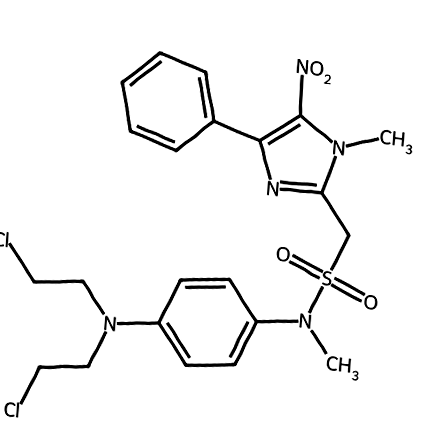 CN(c1ccc(N(CCCl)CCCl)cc1)S(=O)(=O)Cc1nc(-c2ccccc2)c([N+](=O)[O-])n1C